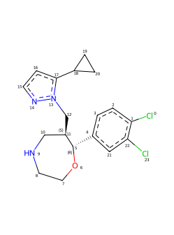 Clc1ccc([C@@H]2OCCNC[C@H]2Cn2nccc2C2CC2)cc1Cl